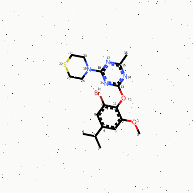 COc1cc(C(C)C)cc(Br)c1Oc1nc(C)nc(N2CCSCC2)n1